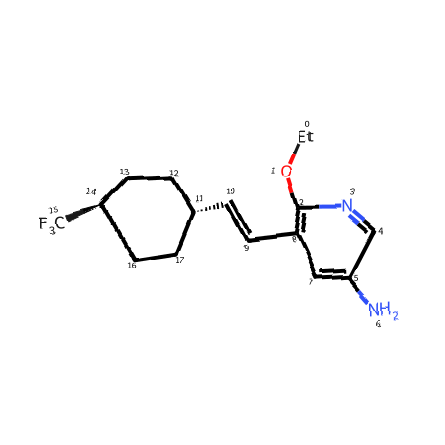 CCOc1ncc(N)cc1/C=C/[C@H]1CC[C@H](C(F)(F)F)CC1